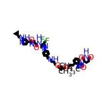 Cn1c(=O)n(C2CCC(=O)NC2=O)c2cccc(CCCOCC(C)(C)COCCCNCc3ccc(-n4cc(NC(=O)c5coc(-c6ccnc(NCC7CC7)c6)n5)c(C(F)F)n4)cc3)c21